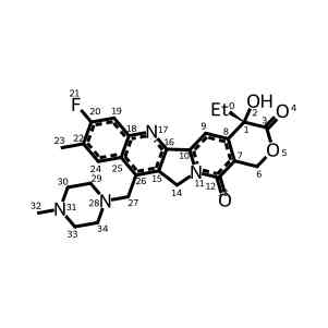 CC[C@@]1(O)C(=O)OCc2c1cc1n(c2=O)Cc2c-1nc1cc(F)c(C)cc1c2CN1CCN(C)CC1